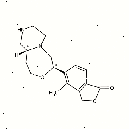 Cc1c([C@@H]2CN3CCNC[C@H]3CCO2)ccc2c1COC2=O